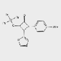 COc1ccc(N2C(=O)C(O[Si](C(C)C)(C(C)C)C(C)C)C2c2cnco2)cc1